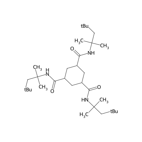 CC(C)(C)CC(C)(C)NC(=O)C1CC(C(=O)NC(C)(C)CC(C)(C)C)CC(C(=O)NC(C)(C)CC(C)(C)C)C1